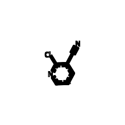 N#Cc1c[c]cnc1Cl